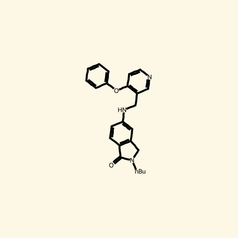 CCCCN1Cc2cc(NCc3cnccc3Oc3ccccc3)ccc2C1=O